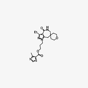 CCc1nn(CCCOC(=O)c2scnc2C)c2c1C(=O)NCC1(CCOCC1)C2